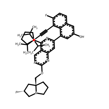 CC(C)[Si](C#Cc1c(F)ccc2cc(O)cc(-c3cc4nc(OC[C@@]56CCCN5C[C@H](F)C6)ncc4c(N4CCCC4)n3)c12)(C(C)C)C(C)C